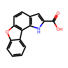 O=C(O)c1cc2ccc3oc4ccccc4c3c2[nH]1